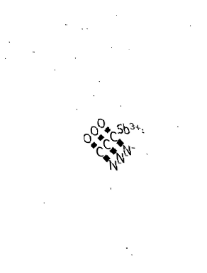 [N-]=C=O.[N-]=C=O.[N-]=C=O.[Sb+3]